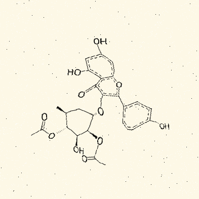 CC(=O)O[C@H]1[C@@H](O)[C@H](OC(C)=O)[C@@H](C)C[C@@H]1Oc1c(-c2ccc(O)cc2)oc2cc(O)cc(O)c2c1=O